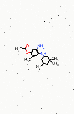 CC(=O)Oc1cc(N)c(NC2CC(C)CC(C)(C)C2)cc1C